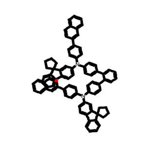 c1ccc(-c2ccc(N(c3ccc(-c4ccc5ccccc5c4)cc3)c3ccc4c(c3)C3(CCCC3)c3ccccc3-4)cc2)c(-c2ccc(N(c3ccc(-c4ccc5ccccc5c4)cc3)c3ccc4c(c3)C3(CCCC3)c3ccccc3-4)cc2)c1